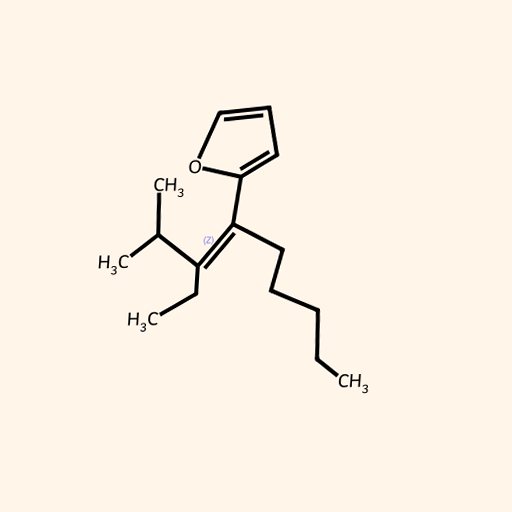 CCCCC/C(=C(\CC)C(C)C)c1ccco1